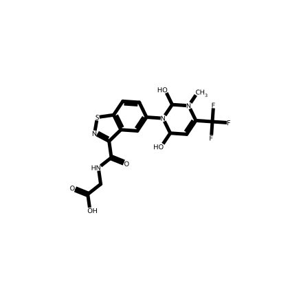 CN1C(C(F)(F)F)=CC(O)N(c2ccc3snc(C(=O)NCC(=O)O)c3c2)C1O